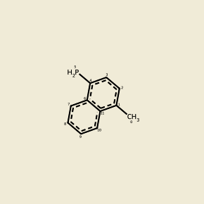 Cc1ccc(P)c2ccccc12